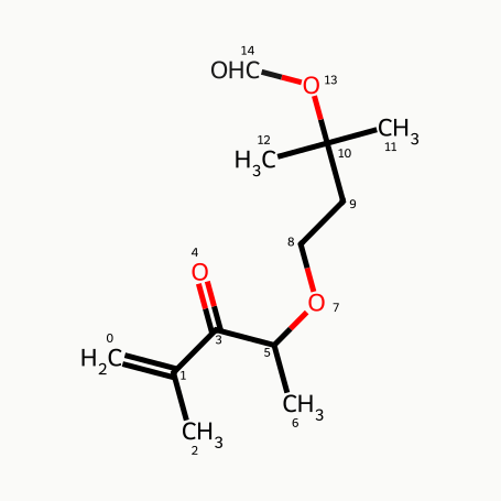 C=C(C)C(=O)C(C)OCCC(C)(C)OC=O